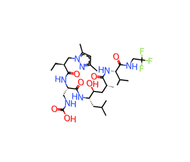 CC[C@@H](Cn1nc(C)cc1C)C(=O)N[C@@H](CNC(=O)O)C(=O)N[C@@H](CC(C)C)[C@@H](O)C[C@@H](C)C(=O)N[C@H](C(=O)NCC(F)(F)F)C(C)C